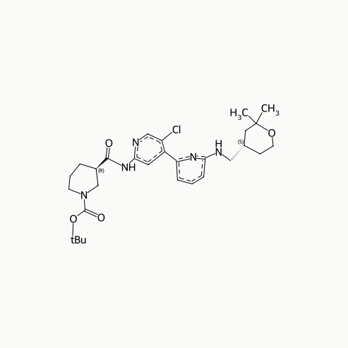 CC(C)(C)OC(=O)N1CCC[C@@H](C(=O)Nc2cc(-c3cccc(NC[C@H]4CCOC(C)(C)C4)n3)c(Cl)cn2)C1